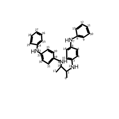 CC(Nc1ccc(Nc2ccccc2)cc1)C(C)Nc1ccc(Nc2ccccc2)cc1